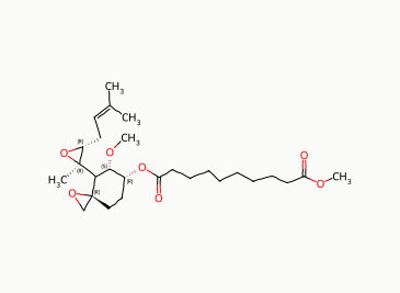 COC(=O)CCCCCCCCC(=O)O[C@@H]1CC[C@]2(CO2)C([C@@]2(C)O[C@@H]2CC=C(C)C)[C@@H]1OC